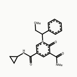 CNC(=O)c1cc(C(=O)NC2CC2)cn(C(COC)c2ccccc2)c1=O